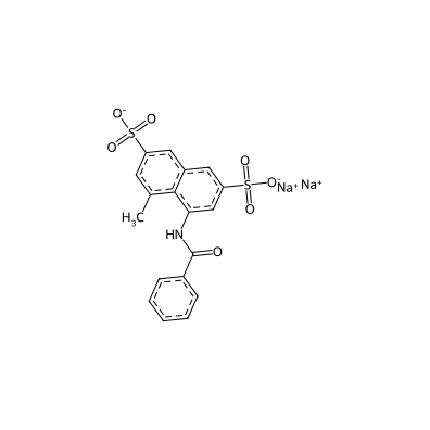 Cc1cc(S(=O)(=O)[O-])cc2cc(S(=O)(=O)[O-])cc(NC(=O)c3ccccc3)c12.[Na+].[Na+]